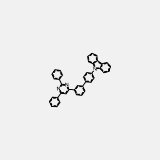 c1ccc(-c2cc(-c3cccc(-c4ccc(-n5c6ccccc6c6ccccc65)cc4)c3)nc(-c3ccccc3)n2)cc1